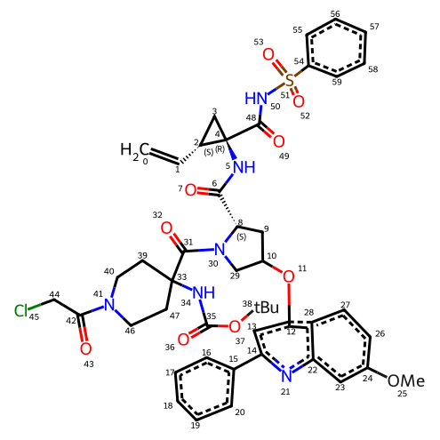 C=C[C@@H]1C[C@]1(NC(=O)[C@@H]1CC(Oc2cc(-c3ccccc3)nc3cc(OC)ccc23)CN1C(=O)C1(NC(=O)OC(C)(C)C)CCN(C(=O)CCl)CC1)C(=O)NS(=O)(=O)c1ccccc1